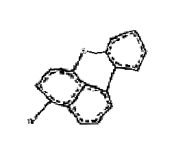 Brc1ccc2c3c(cccc13)-c1ccccc1S2